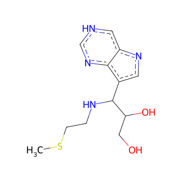 CSCCNC(c1cnc2c[nH]cnc1-2)C(O)CO